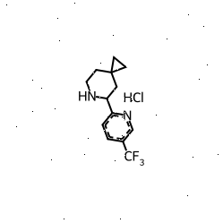 Cl.FC(F)(F)c1ccc(C2CC3(CCN2)CC3)nc1